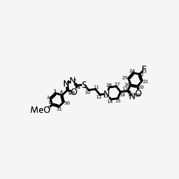 COc1ccc(-c2nnc(SCCCN3CCC(c4noc5cc(F)ccc45)CC3)o2)cc1